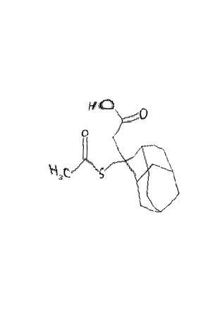 CC(=O)SC1(CC(=O)O)C2CC3CC(C2)CC1C3